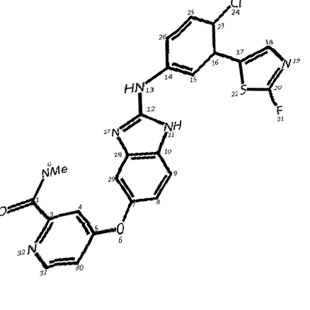 CNC(=O)c1cc(Oc2ccc3[nH]c(NC4=CC(c5cnc(F)s5)C(Cl)C=C4)nc3c2)ccn1